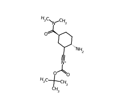 CN(C)C(=O)[C@H]1CC[C@H](N)C(C#[N+]C(=O)OC(C)(C)C)C1